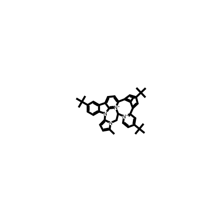 Cc1c2cc(C(C)(C)C)cc1-c1ccc3c4cc(C(C)(C)C)ccc4n4c3[n+]1C(Cn1c(C)ccc1-4)[n+]1ccc(C(C)(C)C)cc1-2